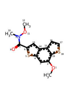 COc1cc2sc(C(=O)N(C)OC)cc2c2ccsc12